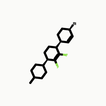 CC[C@H]1C=C[C@@H](C2CC[C@H](C3CCC(C)CC3)C(F)=C2F)CC1